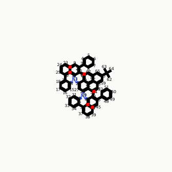 Cc1c(-c2ccccc2)cccc1N(c1ccccc1-c1ccccc1)c1cc(N(c2ccccc2-c2ccccc2)c2cccc(-c3ccccc3)c2C)c2ccc3cc(C(C)(C)C)cc4ccc1c2c43